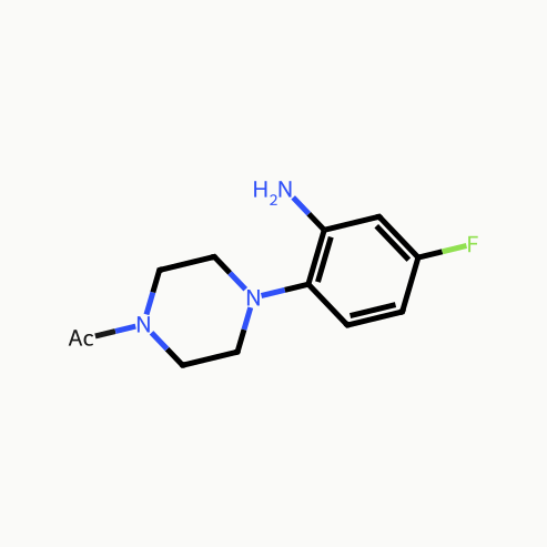 CC(=O)N1CCN(c2ccc(F)cc2N)CC1